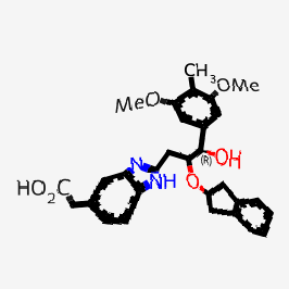 COc1cc([C@@H](O)C(Cc2nc3cc(CC(=O)O)ccc3[nH]2)OC2Cc3ccccc3C2)cc(OC)c1C